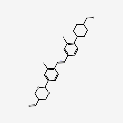 C=CC1COC(c2ccc(/C=C/c3ccc(C4CCC(CF)CC4)c(F)c3)c(F)c2)OC1